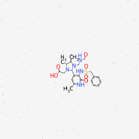 C=C1C(C)N(CC(=O)O)C(c2cc(C)[nH]c(=O)c2NS(=O)(=O)Cc2ccccc2)N1CNC=O